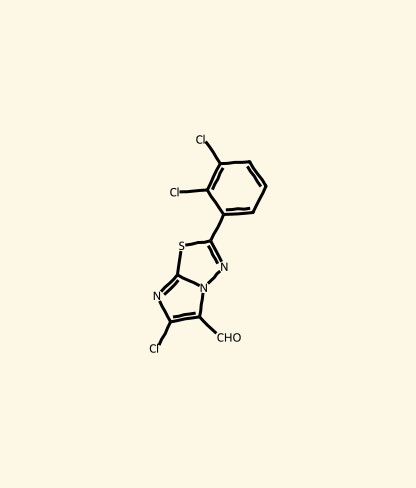 O=Cc1c(Cl)nc2sc(-c3cccc(Cl)c3Cl)nn12